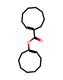 O=C(OC1=CCCCCCCC1)C1=CCCCCCCC1